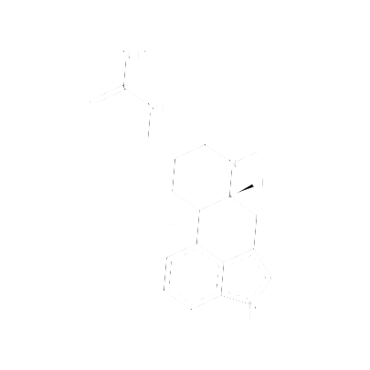 CC(=O)NC(=O)NC[C@H]1C[C@@H]2c3cccc4[nH]cc(c34)C[C@H]2N(C)C1